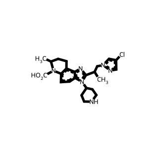 CC(Cn1cc(Cl)cn1)c1nc2c3c(ccc2n1C1CCNCC1)N(C(=O)O)C(C)CC3